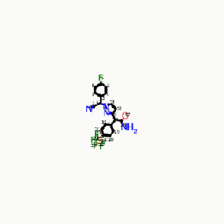 N#CC(c1ccc(F)cc1)n1ccc(C(C(N)=O)c2ccc(S(F)(F)(F)(F)F)cc2)n1